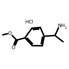 COC(=O)c1ccc(C(C)N)cc1.Cl